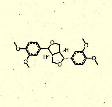 COc1ccc([C@H]2OC[C@@H]3[C@H]2CO[C@H]3c2ccc(OC)c(OC)c2)cc1OC